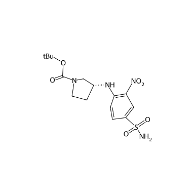 CC(C)(C)OC(=O)N1CC[C@@H](Nc2ccc(S(N)(=O)=O)cc2[N+](=O)[O-])C1